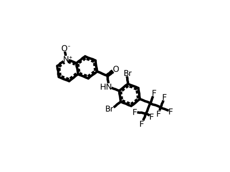 O=C(Nc1c(Br)cc(C(F)(C(F)(F)F)C(F)(F)F)cc1Br)c1ccc2c(ccc[n+]2[O-])c1